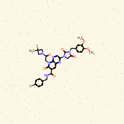 COc1ccc(CN2C(=O)CN(c3cnc4c(cc(C(=O)NCc5ccc(Cl)cc5)c(=O)n4CC(=O)N4CC(C)(F)C4)n3)C2=O)cc1OC